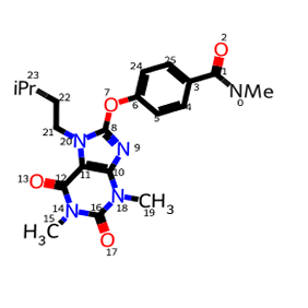 CNC(=O)c1ccc(Oc2nc3c(c(=O)n(C)c(=O)n3C)n2CCC(C)C)cc1